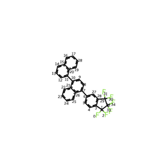 FC1(F)c2ccc(-c3ccc(-c4cccc5ccccc45)c4ccccc34)cc2C(F)(F)C1(F)F